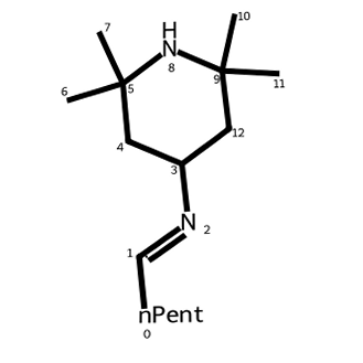 [CH2]CCCC/[C]=N/C1CC(C)(C)NC(C)(C)C1